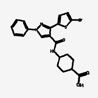 O=C(NC1CCC(C(=O)O)CC1)c1cn(-c2ccccc2)nc1-c1ccc(Br)s1